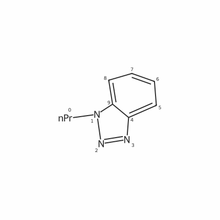 C[CH]Cn1nnc2ccccc21